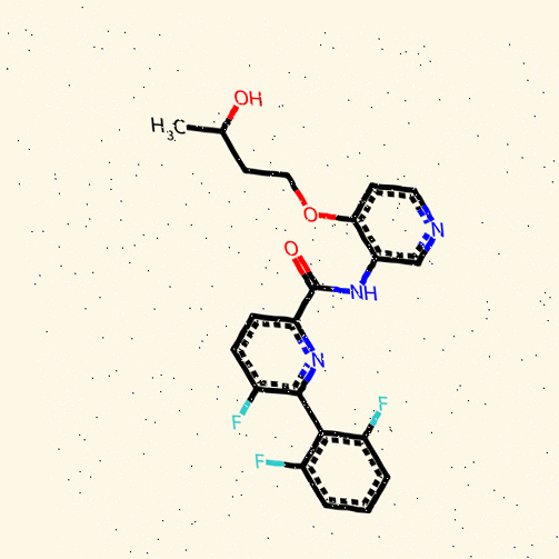 CC(O)CCOc1ccncc1NC(=O)c1ccc(F)c(-c2c(F)cccc2F)n1